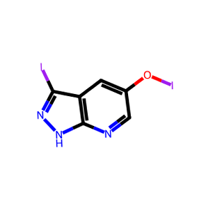 IOc1cnc2[nH]nc(I)c2c1